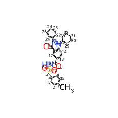 Cc1ccc(CS(=O)(=O)NC(=O)c2ccc3c(c2)c(=O)n(-c2ccccc2)n3C2CCCCC2)cc1